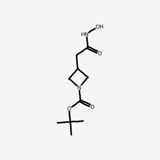 CC(C)(C)OC(=O)N1CC(CC(=O)NO)C1